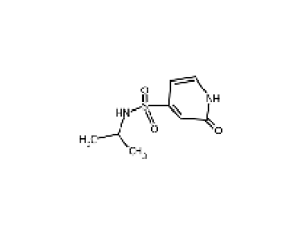 CC(C)NS(=O)(=O)c1cc[nH]c(=O)c1